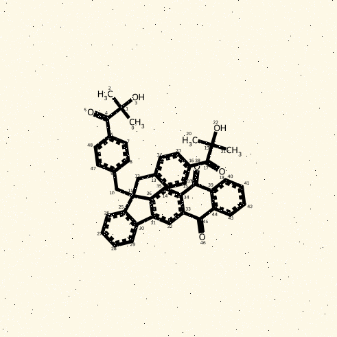 CC(C)(O)C(=O)c1ccc(CC2(Cc3ccc(C(=O)C(C)(C)O)cc3)c3ccccc3-c3cc4c(cc32)C(=O)c2ccccc2C4=O)cc1